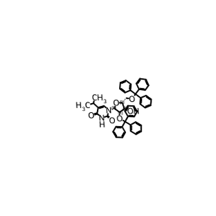 CC(C)c1cn([C@@H]2O[C@H](COC(c3ccccc3)(c3ccccc3)c3ccccc3)[C@@H](O)[C@H]2OC(c2ccccc2)(c2ccccc2)c2ccccc2)c(=O)[nH]c1=O